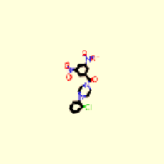 O=C(c1cc([N+](=O)[O-])cc([N+](=O)[O-])c1)N1CCN(c2ccccc2Cl)CC1